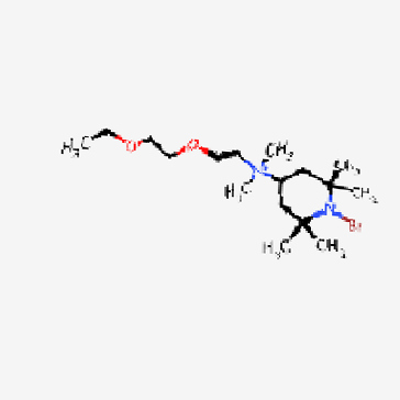 CCOCCOCC[N+](C)(C)C1CC(C)(C)N(Br)C(C)(C)C1